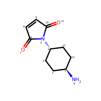 N[C@H]1CC[C@H](N2C(=O)C=CC2=O)CC1